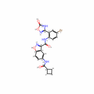 O=C(Nc1ccc(Br)cc1-c1noc(=O)[nH]1)c1noc2ccc(NC(=O)C3CCC3)cc12